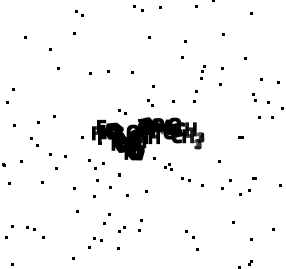 CC1(C)OC[C@H](COc2cccc(NC(=O)N3c4nc(-c5cccc(C(F)(F)F)c5)ncc4N4CCC[C@H]3C4)n2)O1